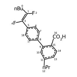 CCCCC(F)=C(F)c1ccc(-c2cc(CCC)ccc2C(=O)O)cc1